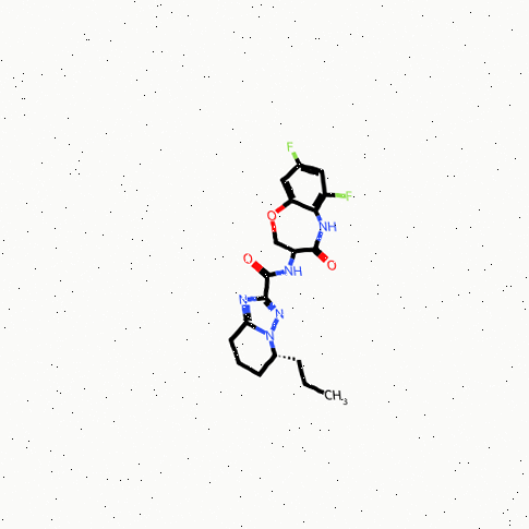 CCC[C@@H]1CCCc2nc(C(=O)NC3COc4cc(F)cc(F)c4NC3=O)nn21